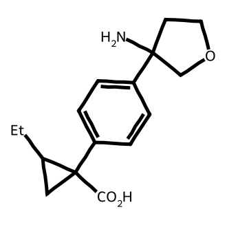 CCC1CC1(C(=O)O)c1ccc(C2(N)CCOC2)cc1